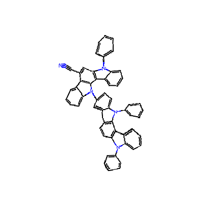 N#Cc1cc2c(c3ccccc3n2-c2ccccc2)c2c1c1ccccc1n2-c1ccc2c(c1)c1ccc3c(c4ccccc4n3-c3ccccc3)c1n2-c1ccccc1